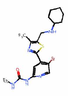 CCNC(=O)Nc1cc(-c2nc(C(F)(F)F)c(CNC3CCCCC3)s2)c(Br)cn1